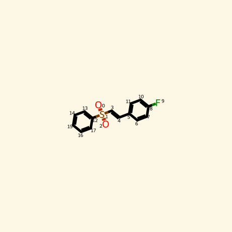 O=S(=O)(C=Cc1ccc(F)cc1)c1ccccc1